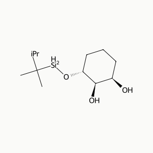 CC(C)C(C)(C)[SiH2]O[C@@H]1CCC[C@@H](O)[C@H]1O